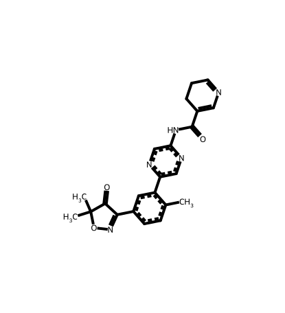 Cc1ccc(C2=NOC(C)(C)C2=O)cc1-c1cnc(NC(=O)C2=CN=CCC2)cn1